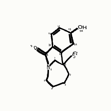 CCC12CCCCN(C1)C(=O)c1ccc(O)cc12